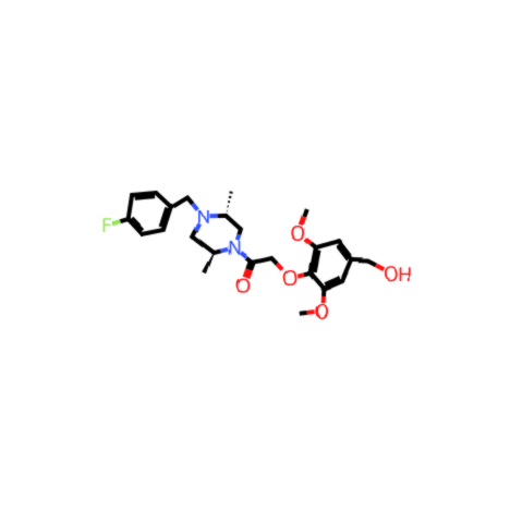 COc1cc(CO)cc(OC)c1OCC(=O)N1C[C@@H](C)N(Cc2ccc(F)cc2)C[C@@H]1C